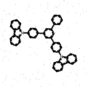 c1ccc(-c2cc(-c3ccc(-n4c5ccccc5c5ccccc54)cc3)cc(-c3ccc(-n4c5ccccc5c5ccccc54)cc3)c2)cc1